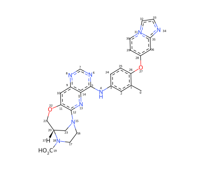 Cc1cc(Nc2ncnc3cc4c(nc23)N2CCN(C(=O)O)[C@H](CO4)C2)ccc1Oc1ccn2ccnc2c1